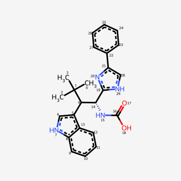 CC(C)(C)C(c1c[nH]c2ccccc12)[C@@H](NC(=O)O)c1nc(-c2ccccc2)c[nH]1